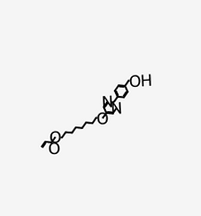 C=CC(=O)OCCCCCCCCOc1cnc(-c2ccc(CO)cc2)nc1